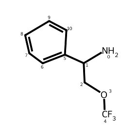 NC(COC(F)(F)F)c1ccccc1